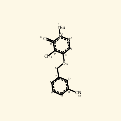 CC(C)(C)n1ncc(SCc2cccc(C#N)c2)c(Cl)c1=O